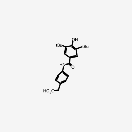 CC(C)(C)c1cc(C(=O)Nc2ccc(CC(=O)O)cc2)cc(C(C)(C)C)c1O